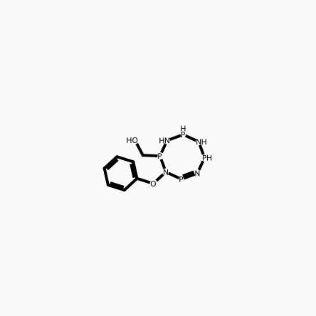 OCp1[nH][pH][nH][pH]npn1Oc1ccccc1